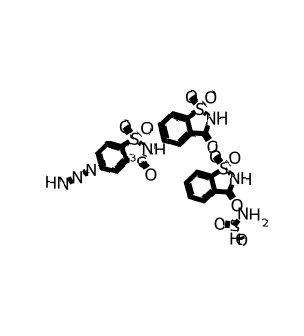 N[SH](=O)=O.O=C1NS(=O)(=O)c2ccccc21.O=C1NS(=O)(=O)c2ccccc21.O=[13C]1NS(=O)(=O)c2ccccc21.[N-]=[N+]=N